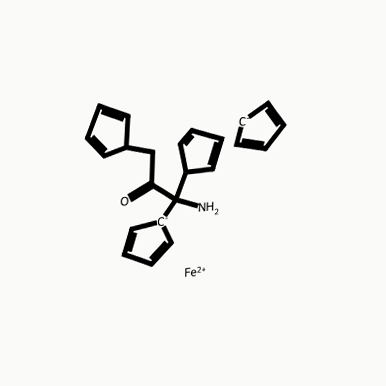 NC(C(=O)CC1C=CC=C1)([c-]1cccc1)C1C=CC=C1.[Fe+2].c1cc[cH-]c1